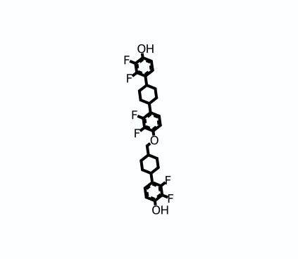 Oc1ccc(C2CCC(COc3ccc(C4CCC(c5ccc(O)c(F)c5F)CC4)c(F)c3F)CC2)c(F)c1F